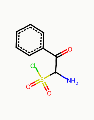 N[C](C(=O)c1ccccc1)S(=O)(=O)Cl